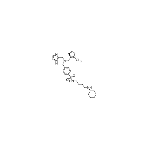 Cn1ccnc1CN(Cc1ccc(S(=O)(=O)NCCCCNC2CCCCC2)cc1)Cc1ncc[nH]1